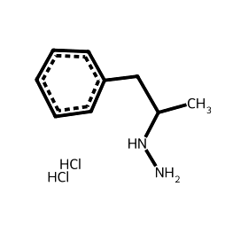 CC(Cc1ccccc1)NN.Cl.Cl